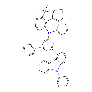 CC1(C)c2ccccc2-c2c(N(c3ccccc3)c3cc(-c4ccccc4)cc(-c4cccc5c4c4ccccc4n5-c4ccccc4)c3)cccc21